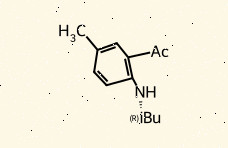 CC[C@@H](C)Nc1ccc(C)cc1C(C)=O